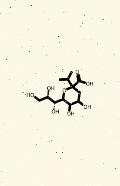 CC(C)C1(C(=O)O)CC(O)C(O)C([C@H](O)[C@H](O)CO)O1